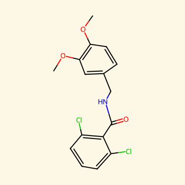 COc1ccc(CNC(=O)c2c(Cl)cccc2Cl)cc1OC